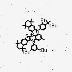 CCCCC(C)(C)c1ccc(N2c3cc4c(cc3B3c5sc6cc7c(cc6c5N(c5cc(C(C)(C)C)cc(C(C)(C)C)c5)c5cc(C)cc2c53)C(C)(C)CCC7(C)C)C(C)(C)CCC4(C)C)cc1CC